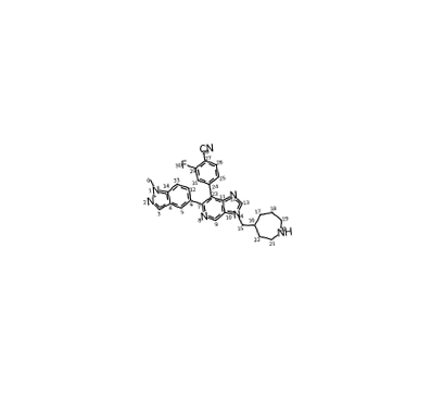 Cn1ncc2cc(-c3ncc4c(ncn4CC4CCCNCC4)c3-c3ccc(C#N)c(F)c3)ccc21